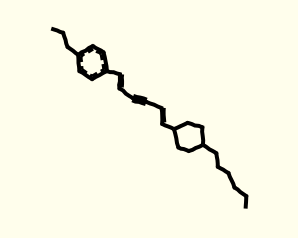 CCCCCCC1CCC(C=CC#CC=Cc2ccc(CCC)cc2)CC1